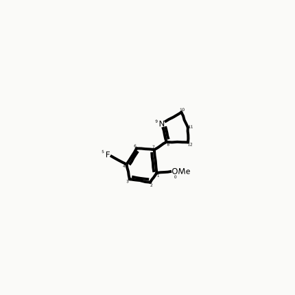 COc1ccc(F)cc1C1=NCCC1